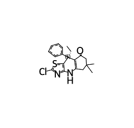 CC[C@]1(c2ccccc2)C2=C(CC(C)(C)CC2=O)Nc2nc(Cl)sc21